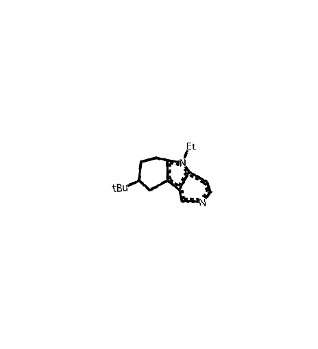 CCn1c2c(c3cnccc31)CC(C(C)(C)C)CC2